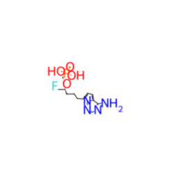 Nc1ncnn2c(CCC[C@@H](CF)OCP(=O)(O)O)ccc12